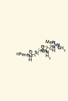 CCCCCNC(=O)CSCCNC(=O)C(N)CCCN/C(=N\C)NC